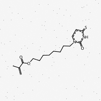 C=C(C)C(=O)OCCCCCCCCn1ccc(=S)[nH]c1=O